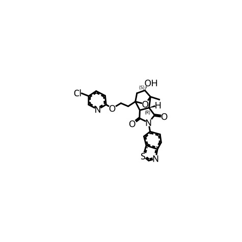 CC12OC(CCOc3ccc(Cl)cn3)(C[C@@H]1O)C1C(=O)N(c3ccc4ncsc4c3)C(=O)[C@H]12